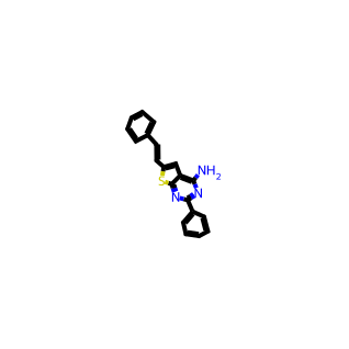 Nc1nc(-c2ccccc2)nc2sc(/C=C/c3ccccc3)cc12